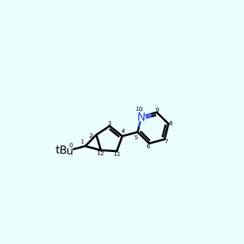 CC(C)(C)C1C2C=C(c3ccccn3)CC21